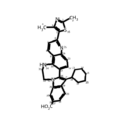 Cc1nc(C)c(-c2ccc3c4c(ccc3n2)-c2c(C3CCCCC3)c3ccc(C(=O)O)cc3n2CCN4)s1